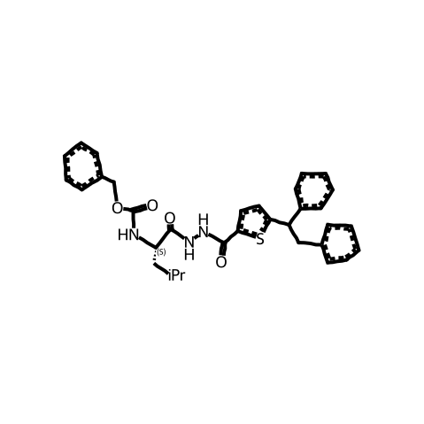 CC(C)C[C@H](NC(=O)OCc1ccccc1)C(=O)NNC(=O)c1ccc(C(Cc2ccccc2)c2ccccc2)s1